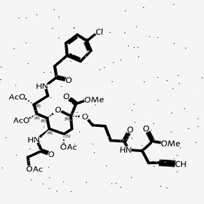 C#CCC(NC(=O)CCCO[C@]1(C(=O)OC)C[C@H](OC(C)=O)[C@@H](NC(=O)COC(C)=O)[C@H]([C@H](OC(C)=O)[C@@H](CNC(=O)Cc2ccc(Cl)cc2)OC(C)=O)O1)C(=O)OC